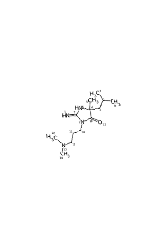 CC(C)CC1(C)NC(=N)N(CCCN(C)C)C1=O